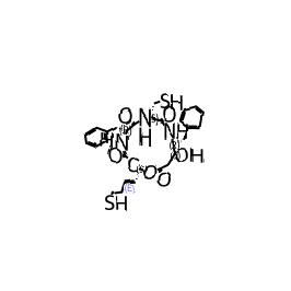 O=C1C[C@@H](/C=C/CCS)OC(=O)C[C@H](O)[C@@H](Cc2ccccc2)NC(=O)[C@@H](CS)NC(=O)[C@@H](Cc2ccccc2)N1